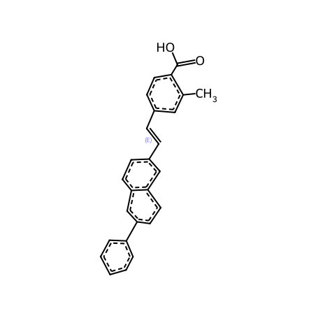 Cc1cc(/C=C/c2ccc3cc(-c4ccccc4)ccc3c2)ccc1C(=O)O